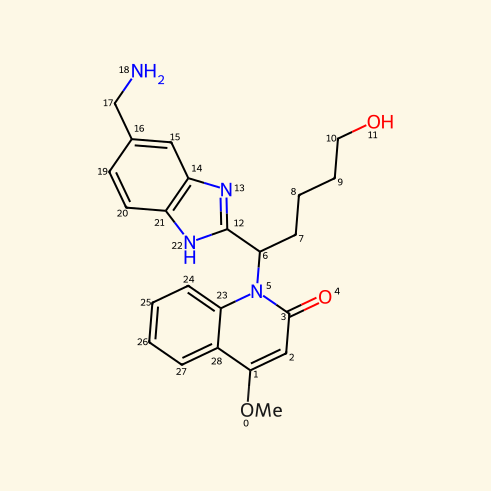 COc1cc(=O)n(C(CCCCO)c2nc3cc(CN)ccc3[nH]2)c2ccccc12